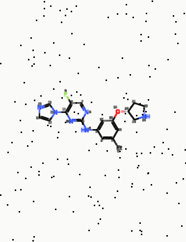 CCc1cc(Nc2ncc(F)c(-n3ccnc3)n2)cc(O[C@@H]2CCNC2)c1